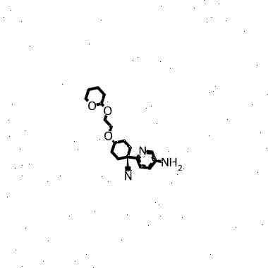 N#C[C@]1(c2ccc(N)cn2)CC[C@H](OCCOC2CCCCO2)CC1